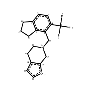 FC(F)(F)c1ccc2c(c1CN1CCc3ccsc3C1)CCC2